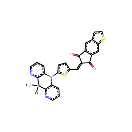 C[Si]1(C)c2ncccc2N(c2ccc(/C=C3\C(=O)c4cc5ccsc5cc4C3=O)s2)c2cccnc21